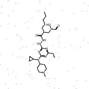 CCCCCC(CN(O)C=O)C(=O)NNc1nc(CC)nc(N(C2CC2)C2CCN(C)CC2)n1